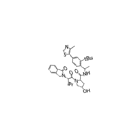 Cc1ncsc1-c1ccc(C(C)NC(=O)C2CC(O)CN2C(=O)C(C(C)C)N2Cc3ccccc3C2=O)c(C(C)(C)C)c1